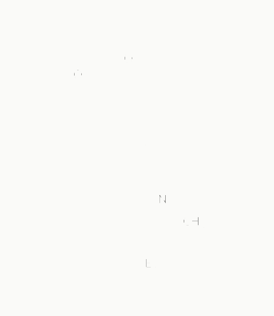 CCc1cccc2c1N(C)Cc1cc3c(cc1-2)OCO3